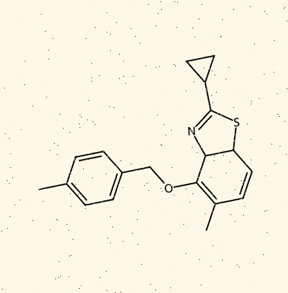 CC1=C(OCc2ccc(C)cc2)C2N=C(C3CC3)SC2C=C1